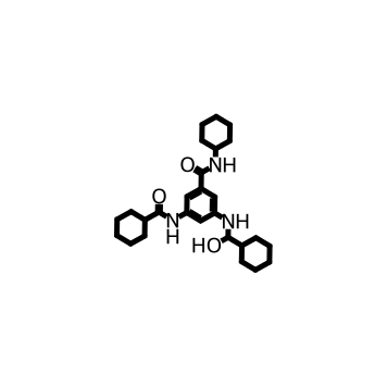 O=C(NC1CCCCC1)c1cc(NC(=O)C2CCCCC2)cc(NC(O)C2CCCCC2)c1